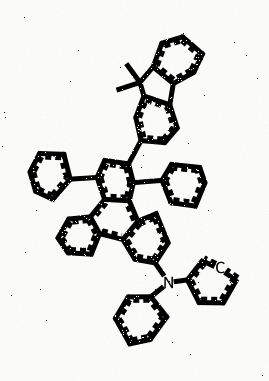 CC1(C)c2ccccc2-c2ccc(-c3cc(-c4ccccc4)c4c5ccccc5c5cc(N(c6ccccc6)c6ccccc6)ccc5c4c3-c3ccccc3)cc21